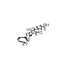 Cn1c(=O)c(C(=O)NCC(=O)O)c(O)c2ccc(Oc3c(Cl)cccc3Cl)cc21